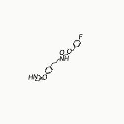 O=C(COCc1ccc(F)cc1)NCCCc1ccc(O[C@@H]2CCNC2)cc1